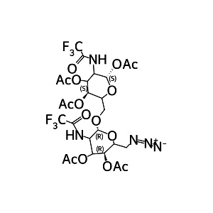 CC(=O)OC1C(NC(=O)C(F)(F)F)[C@H](OCC2O[C@@H](OC(C)=O)C(NC(=O)C(F)(F)F)C(OC(C)=O)[C@@H]2OC(C)=O)OC(CN=[N+]=[N-])[C@H]1OC(C)=O